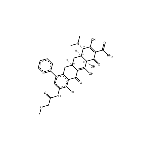 COCC(=O)Nc1cc(-c2ccccn2)c2c(c1O)C(=O)C1=C(O)[C@]3(O)C(=O)C(C(N)=O)=C(O)[C@@H](N(C)C)[C@@H]3C[C@@H]1C2